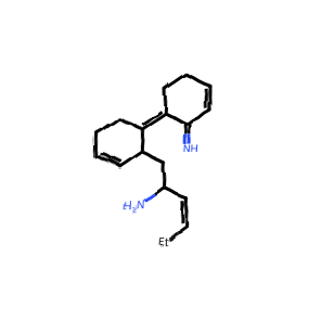 CC/C=C\C(N)CC1C=CCC/C1=C1\CCC=CC1=N